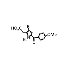 CCn1c(C(=O)c2ccc(OC)cc2)cc(Br)c1CC(=O)O